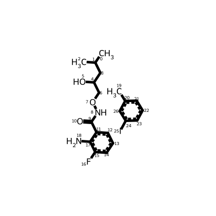 CC(C)CC(O)CONC(=O)c1cccc(F)c1N.Cc1cccc(I)c1